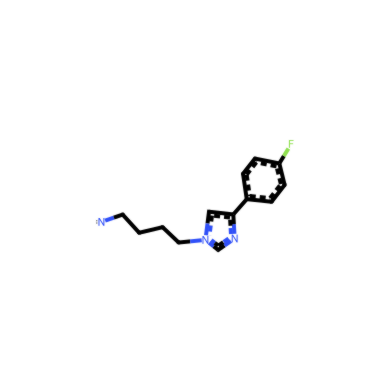 [N]CCCCn1cnc(-c2ccc(F)cc2)c1